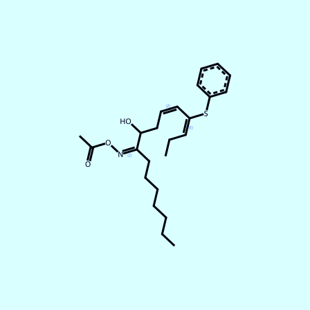 CC/C=C(\C=C/CC(O)/C(CCCCCCC)=N\OC(C)=O)Sc1ccccc1